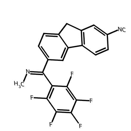 [C-]#[N+]c1ccc2c(c1)Cc1ccc(/C(=N/C)c3c(F)c(F)c(F)c(F)c3F)cc1-2